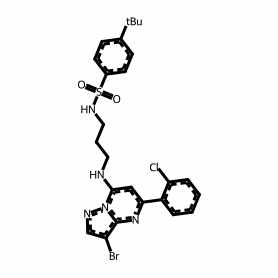 CC(C)(C)c1ccc(S(=O)(=O)NCCCNc2cc(-c3ccccc3Cl)nc3c(Br)cnn23)cc1